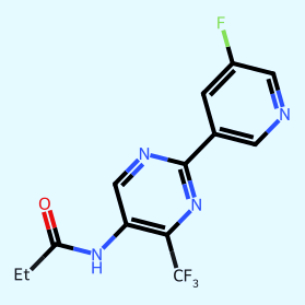 CCC(=O)Nc1cnc(-c2cncc(F)c2)nc1C(F)(F)F